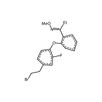 CCC(=NOC)c1ccccc1Oc1ccc(CCBr)cc1F